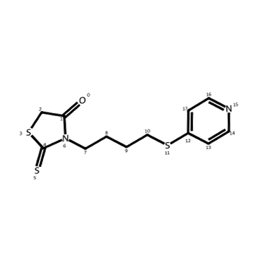 O=C1CSC(=S)N1CCCCSc1ccncc1